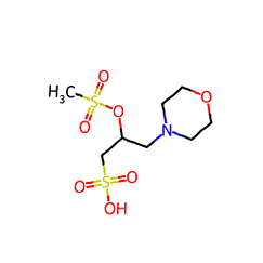 CS(=O)(=O)OC(CN1CCOCC1)CS(=O)(=O)O